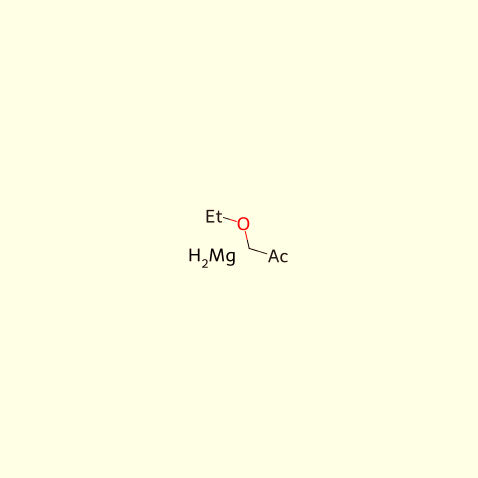 CCOCC(C)=O.[MgH2]